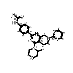 CC1COCCN1c1nc(-c2ccc(NC(N)=O)cc2)nc2c1CCN(c1ncccn1)C2